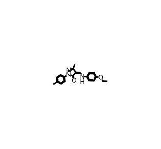 CCOc1ccc(NC=C2C(=O)N(c3ccc(C)cc3)N=C2C)cc1